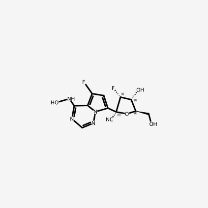 N#C[C@@]1(c2cc(F)c3c(NO)ncnn23)O[C@H](CO)[C@@H](O)[C@H]1F